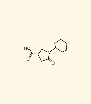 O=C(O)[C@H]1CC(=O)N(C2CCCCC2)C1